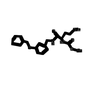 CSCC[C@@H](NC(=O)OC(C)(C)C)C(=O)NCc1cccc(OCc2ccccc2)c1